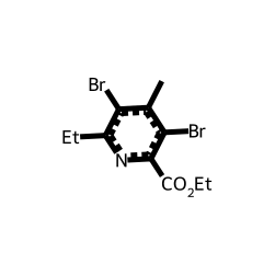 CCOC(=O)c1nc(CC)c(Br)c(C)c1Br